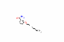 C=CCCCCCCOc1cccc(C(N)=O)c1